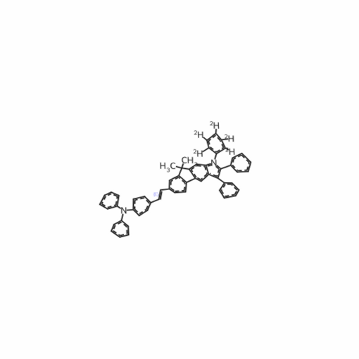 [2H]c1c([2H])c([2H])c(-n2c(-c3ccccc3)c(-c3ccccc3)c3cc4c(cc32)C(C)(C)c2cc(/C=C/c3ccc(N(c5ccccc5)c5ccccc5)cc3)ccc2-4)c([2H])c1[2H]